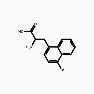 NC(Cc1ccc(Br)c2ccccc12)C(=O)O